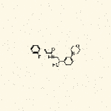 O=C(C=Cc1ccccc1F)NCC(O)c1cccc(N2CCOCC2)c1